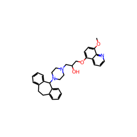 COc1ccc(OCC(O)CN2CCN(C3c4ccccc4CCc4ccccc43)CC2)c2cccnc12